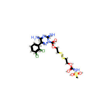 CS(=O)(=O)NC(=O)OCCSSCCOC(=O)n1nc(-c2cccc(Cl)c2Cl)c(N)nc1=N